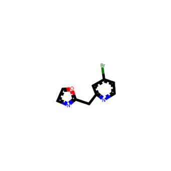 Brc1ccnc(Cc2ncco2)c1